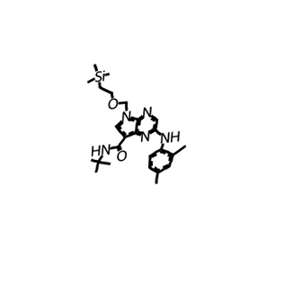 Cc1ccc(Nc2cnc3c(n2)c(C(=O)NC(C)(C)C)cn3COCC[Si](C)(C)C)c(C)c1